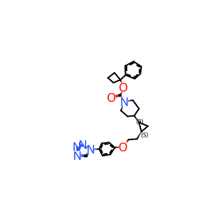 O=C(OC1(c2ccccc2)CCC1)N1CCC([C@H]2C[C@H]2CCOc2ccc(-n3cnnn3)cc2)CC1